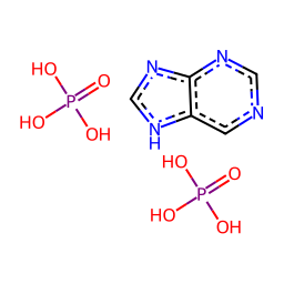 O=P(O)(O)O.O=P(O)(O)O.c1ncc2[nH]cnc2n1